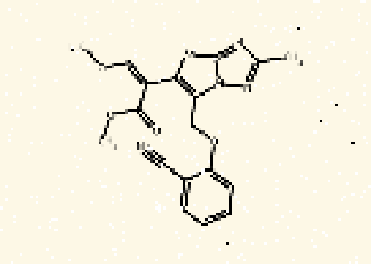 COC=C(C(=O)OC)c1sc2nc(C)nn2c1COc1ccccc1C#N